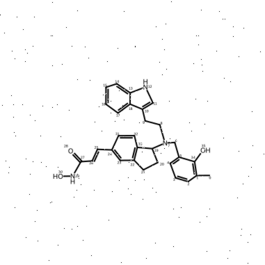 Cc1cccc(CN(CCc2c[nH]c3ccccc23)C2CCc3cc(/C=C/C(=O)NO)ccc32)c1O